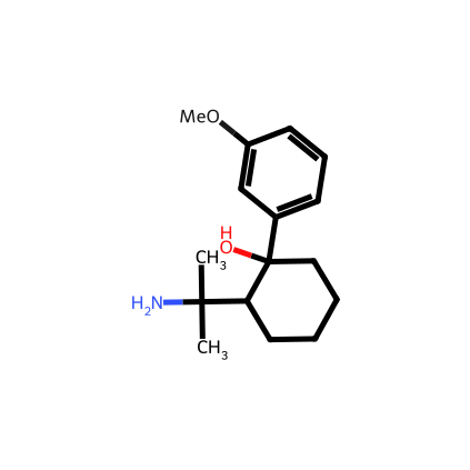 COc1cccc(C2(O)CCCCC2C(C)(C)N)c1